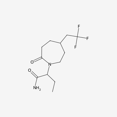 CCC(C(N)=O)N1CCC(CC(F)(F)F)CCC1=O